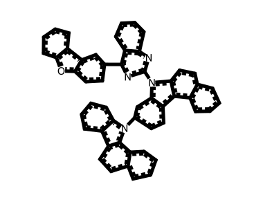 c1ccc2c(c1)ccc1c2c2ccc(-n3c4ccccc4c4ccc5ccccc5c43)cc2n1-c1nc(-c2ccc3oc4ccccc4c3c2)c2ccccc2n1